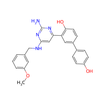 COc1cccc(CNc2cc(-c3cc(-c4ccc(O)cc4)ccc3O)nc(N)n2)c1